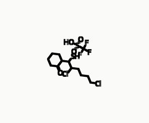 O=C1CCCCC1C(S)C(Cl)CCCCCl.O=S(=O)(O)C(F)(F)F